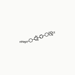 CCCCCCCCC1(C#N)CCC(c2ccc(-c3ncc(C4CCC(CCCCCCC)CC4)cn3)cc2)CC1